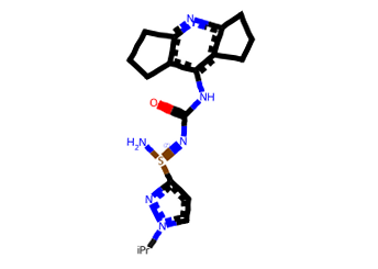 CC(C)n1ccc(/S(N)=N/C(=O)Nc2c3c(nc4c2CCC4)CCC3)n1